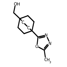 Cc1nnc(C23CCC(CO)(CC2)CC3)o1